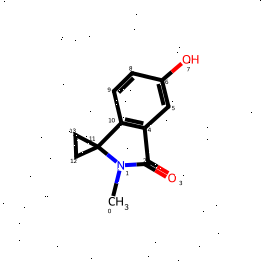 CN1C(=O)c2cc(O)ccc2C12CC2